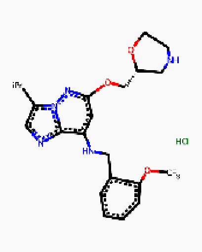 CC(C)c1cnc2c(NCc3ccccc3OC(F)(F)F)cc(OC[C@H]3CNCCO3)nn12.Cl